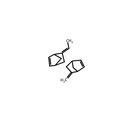 C/C=C1/CC2C=CC1C2.C=C1CC2C=CC1C2